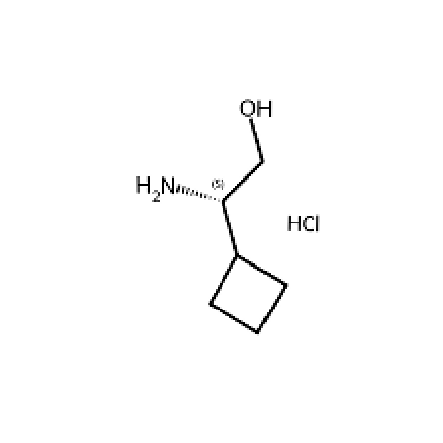 Cl.N[C@H](CO)C1CCC1